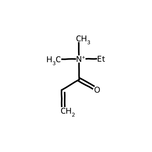 C=CC(=O)[N+](C)(C)CC